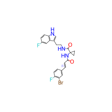 O=C(/C=C/c1ccc(F)c(Br)c1)NC1(C(=O)NCCc2c[nH]c3ccc(F)cc23)CC1